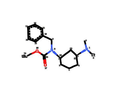 CCN(C)[C@H]1CCC[C@@H](N(Cc2ccccc2)C(=O)OC(C)(C)C)C1